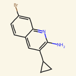 Nc1nc2cc(Br)ccc2cc1C1CC1